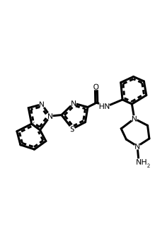 NN1CCN(c2ccccc2NC(=O)c2csc(-n3ncc4ccccc43)n2)CC1